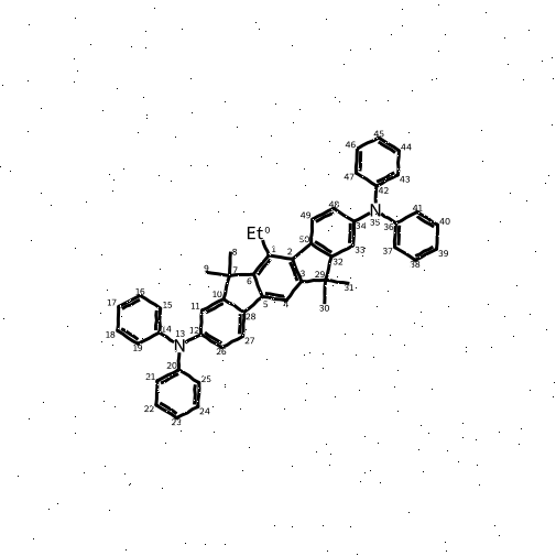 CCc1c2c(cc3c1C(C)(C)c1cc(N(c4ccccc4)c4ccccc4)ccc1-3)C(C)(C)c1cc(N(c3ccccc3)c3ccccc3)ccc1-2